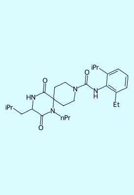 CCCN1C(=O)C(CC(C)C)NC(=O)C12CCN(C(=O)Nc1c(CC)cccc1C(C)C)CC2